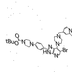 Cc1cc(CN2CCN(c3c(Br)cnc4[nH]c(-c5ccc(N6CCN(C(=O)OC(C)(C)C)CC6)cc5)nc34)CC2)ccn1